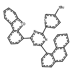 CC(C)(C)c1ccc(-c2nc(-c3cccc4c3oc3ccccc34)nc(-c3cccc4ccc5ccccc5c34)n2)cc1